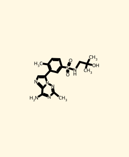 Cc1nc(N)c2ncc(-c3cc(S(=O)(=O)NCC(C)(C)O)ccc3C)n2n1